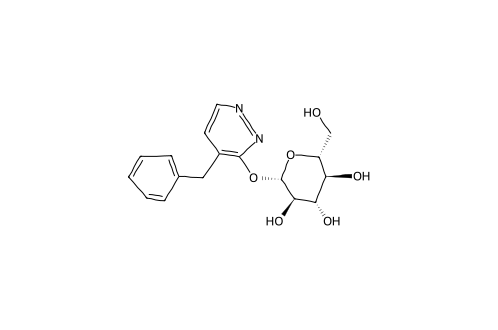 OC[C@H]1O[C@@H](Oc2nnccc2Cc2ccccc2)[C@H](O)[C@@H](O)[C@@H]1O